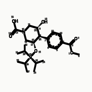 COC(=O)c1ccc([C@@H]2[C@@H](O)CN(C(=O)O)C[C@H]2O[Si](C(C)C)(C(C)C)C(C)C)cc1